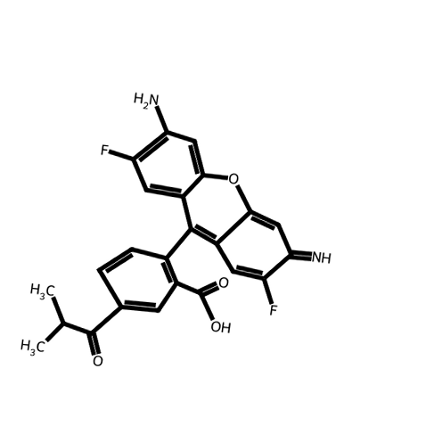 CC(C)C(=O)c1ccc(-c2c3cc(F)c(=N)cc-3oc3cc(N)c(F)cc23)c(C(=O)O)c1